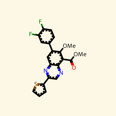 COC(=O)c1c(OC)c(-c2ccc(F)c(F)c2)cc2nc(-c3cccs3)cnc12